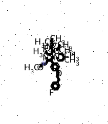 CO/C=C/c1nc(C)c([C@H](OC(C)(C)C)C(=O)OC(C)C)c(N2CCC(C)(C)CC2)c1-c1ccc(OCCc2ccc(F)cc2)cc1